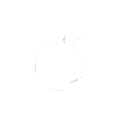 CCCC1CCC/C=C/CCCCCCCCOC1=O